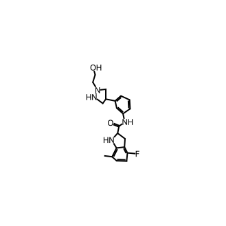 Cc1ccc(F)c2c1NC(C(=O)Nc1cccc(C3CNN(CCO)C3)c1)C2